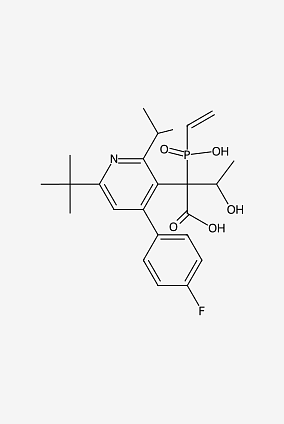 C=CP(=O)(O)C(C(=O)O)(c1c(-c2ccc(F)cc2)cc(C(C)(C)C)nc1C(C)C)C(C)O